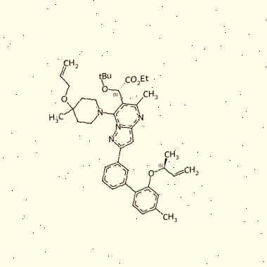 C=CCOC1(C)CCN(c2c([C@H](OC(C)(C)C)C(=O)OCC)c(C)nc3cc(-c4cccc(-c5ccc(C)cc5O[C@@H](C)C=C)c4)nn23)CC1